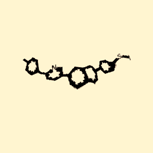 Cc1ccc(-c2ccc(-c3ccc4ccc(-c5ccc(SI)cc5)cc4c3)cn2)cc1